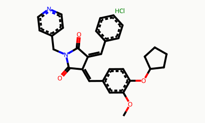 COc1cc(C=C2C(=O)N(Cc3ccncc3)C(=O)C2=Cc2ccccc2)ccc1OC1CCCC1.Cl